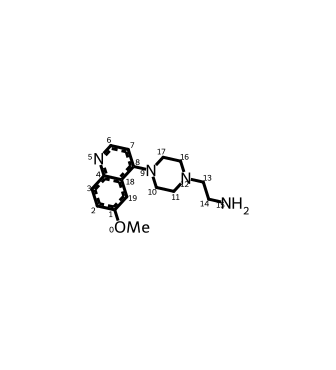 COc1ccc2nccc(N3CCN(CCN)CC3)c2c1